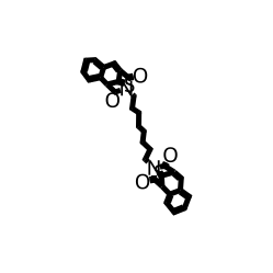 O=C1C2=Cc3ccccc3C(C(=O)N1CCCCCCCCN1C(=O)C3=Cc4ccccc4C(C1=O)C3=S)C2=S